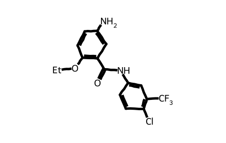 CCOc1ccc(N)cc1C(=O)Nc1ccc(Cl)c(C(F)(F)F)c1